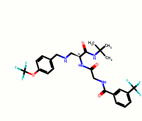 CC(C)(C)NC(=O)[C@H](CNCc1ccc(OC(F)(F)F)cc1)NC(=O)CNC(=O)c1cccc(C(F)(F)F)c1